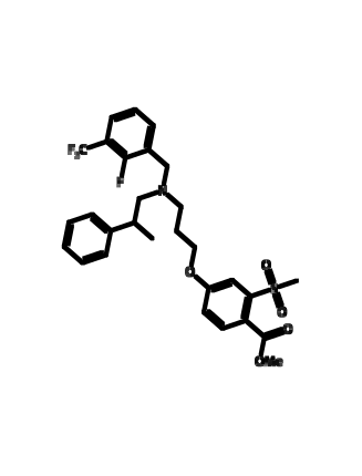 COC(=O)c1ccc(OCCCN(Cc2cccc(C(F)(F)F)c2F)CC(C)c2ccccc2)cc1S(C)(=O)=O